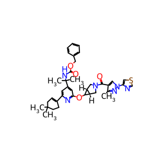 Cc1nn(-c2cscn2)cc1C(=O)N1C[C@@H]2C(Oc3cc(C(C)(C)NC(=O)OCc4ccccc4)cc(C4=CCC(C)(C)CC4)n3)[C@@H]2C1